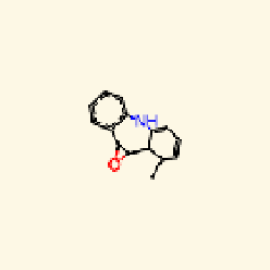 CC1C=CC=C2Nc3ccccc3C3OC3C21